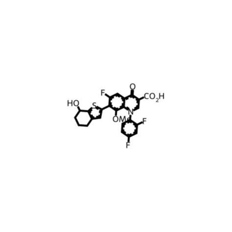 COc1c(-c2cc3c(s2)C(O)CCC3)c(F)cc2c(=O)c(C(=O)O)cn(-c3ccc(F)cc3F)c12